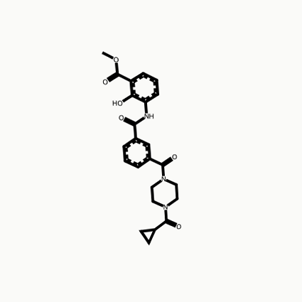 COC(=O)c1cccc(NC(=O)c2cccc(C(=O)N3CCN(C(=O)C4CC4)CC3)c2)c1O